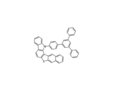 c1ccc(-c2cc(-c3ccccc3)cc(-c3ccc(-n4c5ccccc5c5ccc6sc7cc8ccccc8cc7c6c54)cc3)c2)cc1